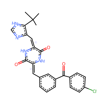 CC(C)(C)c1[nH]cnc1/C=c1\[nH]c(=O)/c(=C/c2cccc(C(=O)c3ccc(Cl)cc3)c2)[nH]c1=O